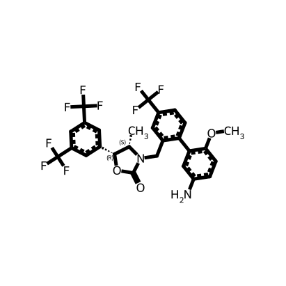 COc1ccc(N)cc1-c1ccc(C(F)(F)F)cc1CN1C(=O)O[C@H](c2cc(C(F)(F)F)cc(C(F)(F)F)c2)[C@@H]1C